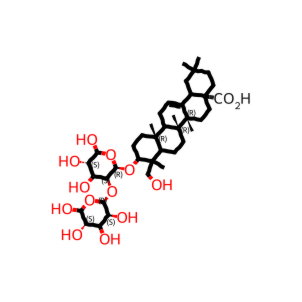 CC1(C)CCC2(C(=O)O)CC[C@@]3(C)C(=CCC4[C@@]5(C)CCC(O[C@@H]6OC(O)[C@@H](O)C(O)[C@@H]6O[C@@H]6OC(O)[C@@H](O)C(O)[C@@H]6O)C(C)(CO)C5CC[C@]43C)C2C1